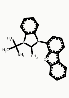 BC(C)(C)N1c2ccccc2N(c2cccc3c2oc2ccccc23)C1C